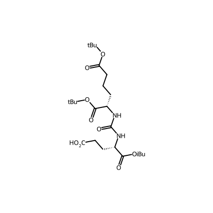 CC(C)COC(=O)[C@H](CCC(=O)O)NC(=O)N[C@@H](CCCC(=O)OC(C)(C)C)C(=O)OC(C)(C)C